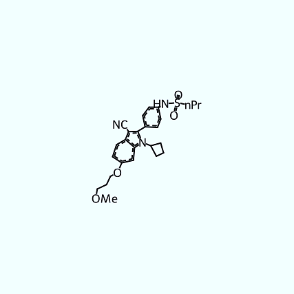 CCCS(=O)(=O)Nc1ccc(-c2c(C#N)c3ccc(OCCCOC)cc3n2C2CCC2)cc1